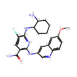 COc1ccc2ncc(Nc3nc(NC4CCCCC4N)c(F)cc3C(N)=O)cc2c1